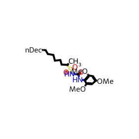 CCCCCCCCCCCCCCCCC(C)S(=O)(=O)NC(=O)Nc1c(OC)cc(OC)cc1OC